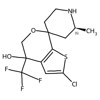 C[C@H]1CC2(CCN1)OCC(O)(C(F)(F)F)c1cc(Cl)sc12